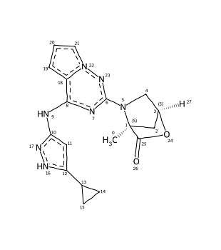 C[C@@]12C[C@@H](CN1c1nc(Nc3cc(C4CC4)[nH]n3)c3cccn3n1)OC2=O